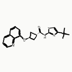 CC(C)(C)c1csc(NC(=O)[C@H]2C[C@H](Oc3cccc4cccnc34)C2)n1